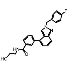 O=C(NCCO)c1cccc(-c2cccc3nn(Cc4ccc(F)cc4)cc23)c1